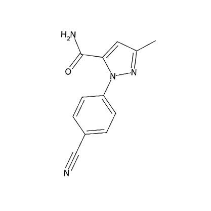 Cc1cc(C(N)=O)n(-c2ccc(C#N)cc2)n1